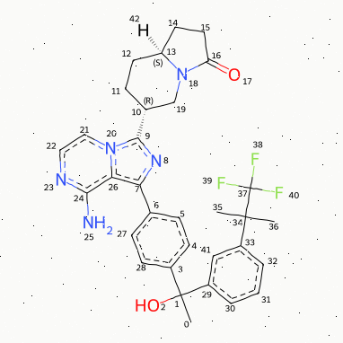 CC(O)(c1ccc(-c2nc([C@@H]3CC[C@H]4CCC(=O)N4C3)n3ccnc(N)c23)cc1)c1cccc(C(C)(C)C(F)(F)F)c1